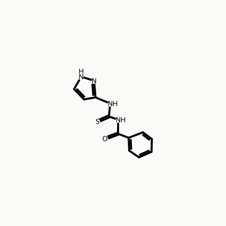 O=C(NC(=S)Nc1cc[nH]n1)c1ccccc1